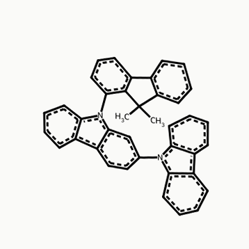 CC1(C)c2ccccc2-c2cccc(-n3c4ccccc4c4ccc(-n5c6ccccc6c6ccccc65)cc43)c21